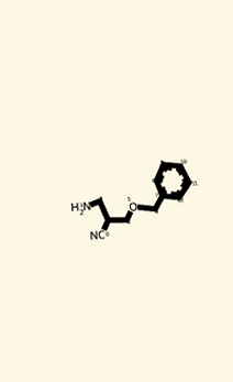 N#CC(CN)COCc1ccccc1